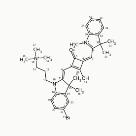 C[N+]1=C(C=C2C(=O)C(/C=C3/N(CCC[N+](C)(C)C)c4ccc(Br)cc4C3(C)C)=C2O)C(C)(C)c2ccccc21